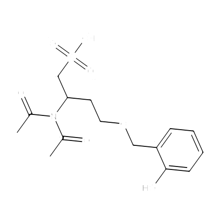 CC(=O)N(C(C)=O)C(CCOCc1ccccc1O)CS(=O)(=O)O